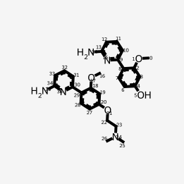 COc1cc(O)ccc1-c1cccc(N)n1.COc1cc(OCCN(C)C)ccc1-c1cccc(N)n1